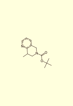 CC1CN(C(=O)OC(C)(C)C)Cc2cccnc21